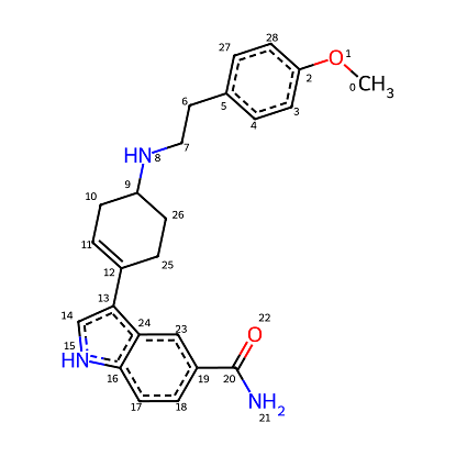 COc1ccc(CCNC2CC=C(c3c[nH]c4ccc(C(N)=O)cc34)CC2)cc1